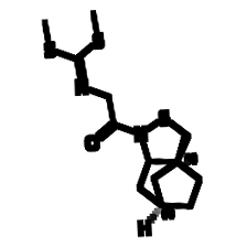 CSC(=NCC(=O)N1SC[C@]23CC[C@@H](CC12)C3)SC